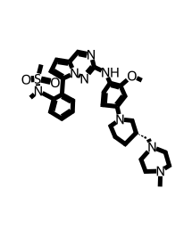 COc1cc(N2CCC[C@@H](CN3CCN(C)CC3)C2)ccc1Nc1ncc2ccc(-c3ccccc3N(C)S(C)(=O)=O)n2n1